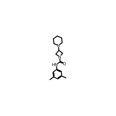 Cc1cc(C)cc(NC(=O)N2CC(N3CCCCC3)C2)c1